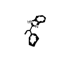 C=CC(c1ccccc1)c1nc2ccccc2[nH]1